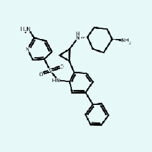 Nc1ccc(S(=O)(=O)Nc2cc(-c3ccccc3)ccc2C2CC2N[C@H]2CC[C@H](N)CC2)cn1